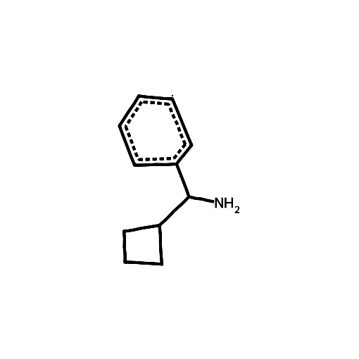 NC(c1c[c]ccc1)C1CCC1